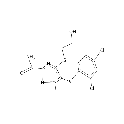 Cc1nc(C(N)=O)nc(SCCO)c1Sc1ccc(Cl)cc1Cl